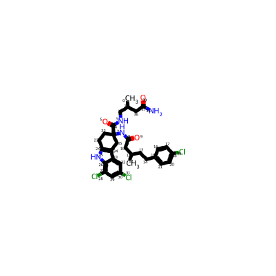 CC(CNC(=O)C1(NC(=O)CC(C)CCc2ccc(Cl)cc2)CCc2[nH]c3c(Cl)cc(Cl)cc3c2C1)CC(N)=O